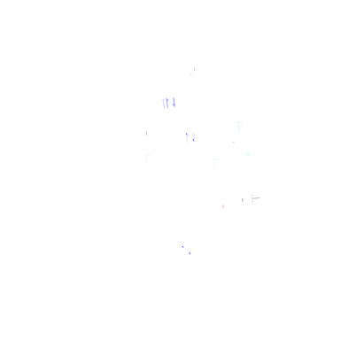 COc1cc(-n2c(C(F)(F)F)cc(=O)[nH]c2=O)c(F)cc1C#N